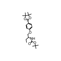 CCC(COc1ccc(B2OC(C)(C)C(C)(C)O2)cc1)NC(=O)OC(C)(C)C